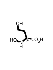 O=C(O)[C@H](CCO)NO